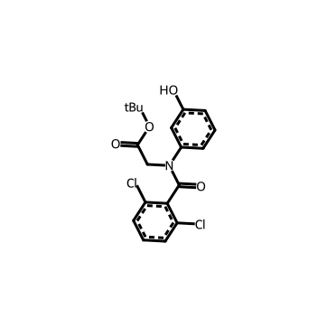 CC(C)(C)OC(=O)CN(C(=O)c1c(Cl)cccc1Cl)c1cccc(O)c1